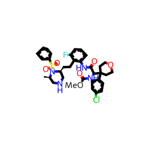 COC(=O)NC(C(=O)Nc1cccc(F)c1CC[C@H]1CNC[C@@H](C)N1S(=O)(=O)c1ccccc1)C1(c2ccc(Cl)cc2)CCOCC1